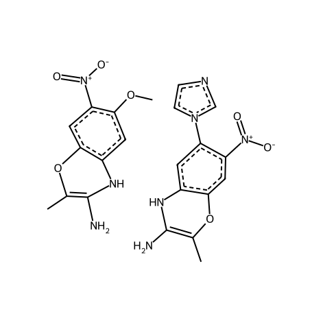 CC1=C(N)Nc2cc(-n3ccnc3)c([N+](=O)[O-])cc2O1.COc1cc2c(cc1[N+](=O)[O-])OC(C)=C(N)N2